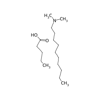 CCCCC(=O)O.CCCCCCCCCCN(C)C